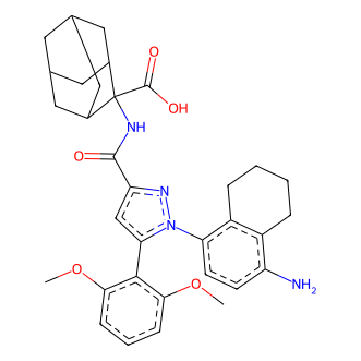 COc1cccc(OC)c1-c1cc(C(=O)NC2(C(=O)O)C3CC4CC(C3)CC2C4)nn1-c1ccc(N)c2c1CCCC2